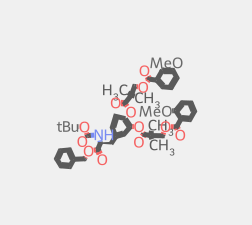 COc1ccccc1C(=O)OCC(C)(C)C(=O)Oc1ccc(C[C@H](NC(=O)OC(C)(C)C)C(=O)OCc2ccccc2)cc1OC(=O)C(C)(C)COC(=O)c1ccccc1OC